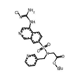 CC(C)(C)OC(=O)CN(Cc1cccnc1)S(=O)(=O)c1ccc2c(NC(N)=NCl)cncc2c1